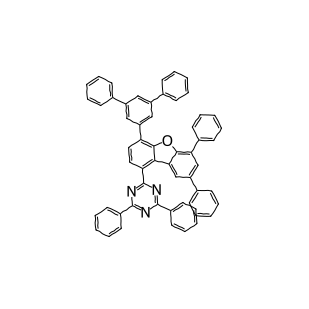 c1ccc(-c2cc(-c3ccccc3)cc(-c3ccc(-c4nc(-c5ccccc5)nc(-c5ccccc5)n4)c4c3oc3c(-c5ccccc5)cc(-c5ccccc5)cc34)c2)cc1